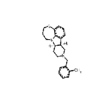 Cc1ccccc1CN1CC[C@@H]2[C@H](C1)c1cccc3c1N2CCCS3